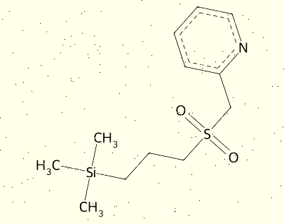 C[Si](C)(C)CCCS(=O)(=O)Cc1ccccn1